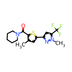 Cc1cc(-c2cc(C(F)(F)F)n(C)n2)sc1C(=O)N1CCCCC1